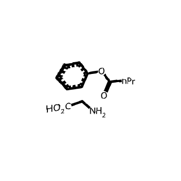 CCCC(=O)Oc1ccccc1.NCC(=O)O